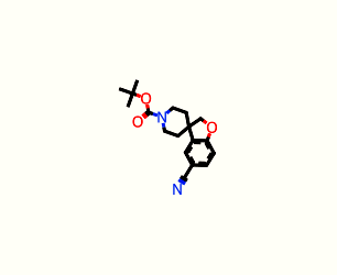 CC(C)(C)OC(=O)N1CCC2(CC1)COc1ccc(C#N)cc12